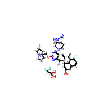 CCc1c(F)ccc2cc(O)cc(-c3ccc4c(N5CCCC(C)(NC#N)C5)nc(OC[C@@]56CCCN5C[C@H](F)C6)nc4c3F)c12.O=C(O)C(F)(F)F